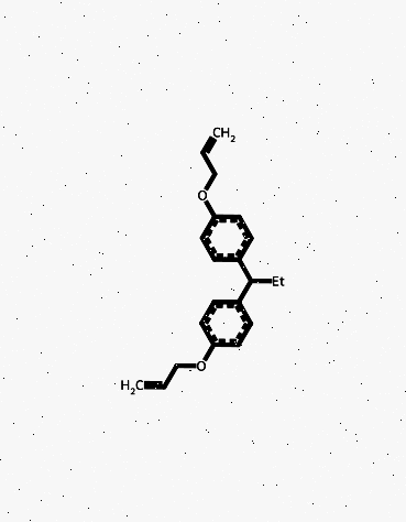 C=CCOc1ccc(C(CC)c2ccc(OCC=C)cc2)cc1